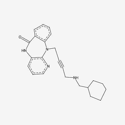 O=C1Nc2cccnc2N(CC#CCNCC2CCCCC2)c2ccccc21